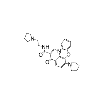 O=C(NCCN1CCCC1)c1cn2c3c(c(N4CCCC4)ccc3c1=O)Oc1ccccc1-2